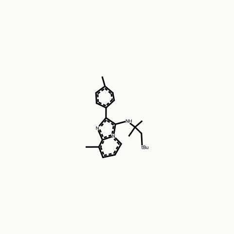 Cc1ccc(-c2nc3c(C)cccn3c2NC(C)(C)CC(C)(C)C)cc1